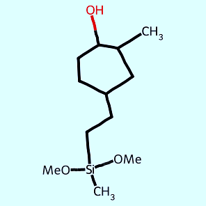 CO[Si](C)(CCC1CCC(O)C(C)C1)OC